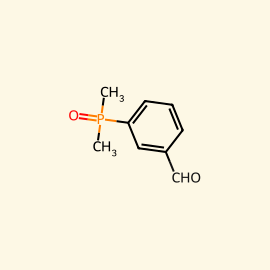 CP(C)(=O)c1cccc(C=O)c1